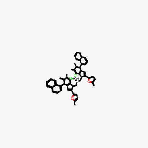 Cc1ccc(C2=Cc3c(cc(C)c(C)c3-c3cccc4ccccc34)C2C[SiH](CC2C(c3ccc(C)o3)=Cc3c2cc(C)c(C)c3-c2cccc3ccccc23)[Zr]([Cl])[Cl])o1